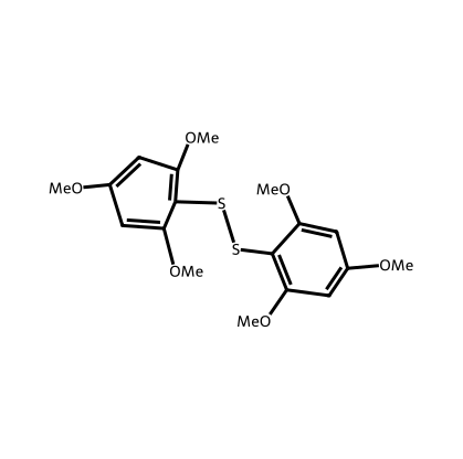 COc1cc(OC)c(SSc2c(OC)cc(OC)cc2OC)c(OC)c1